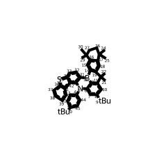 CC(C)(C)c1ccc(N2c3cc(C(C)(C)C)cc4c3B(c3cc5c(cc3C4(C)C)C(C)(C)CCC5(C)C)c3ccc4sc5ccccc5c4c32)cc1